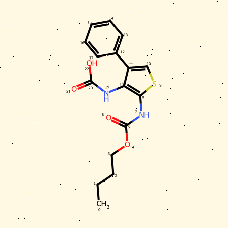 CCCCOC(=O)Nc1scc(-c2ccccc2)c1NC(=O)O